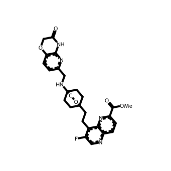 COC(=O)c1ccc2ncc(F)c(CCC34CCC(NCc5ccc6c(n5)NC(=O)CO6)(CC3)CO4)c2n1